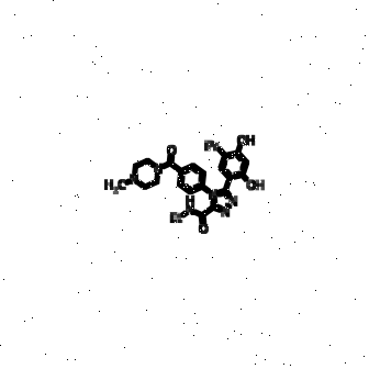 CCNC(=O)c1nnc(-c2cc(C(C)C)c(O)cc2O)n1-c1ccc(C(=O)N2CCN(C)CC2)cc1